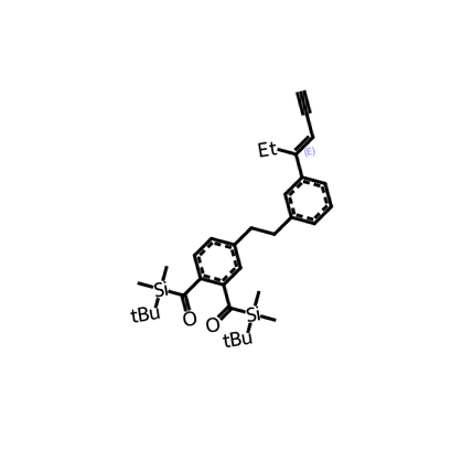 C#C/C=C(\CC)c1cccc(CCc2ccc(C(=O)[Si](C)(C)C(C)(C)C)c(C(=O)[Si](C)(C)C(C)(C)C)c2)c1